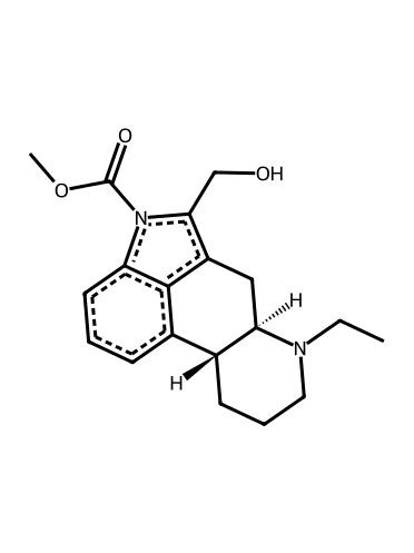 CCN1CCC[C@@H]2c3cccc4c3c(c(CO)n4C(=O)OC)C[C@H]21